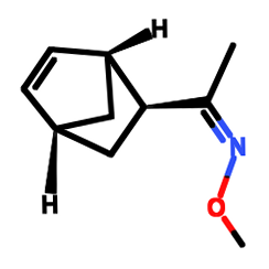 CO/N=C(/C)[C@H]1C[C@@H]2C=C[C@H]1C2